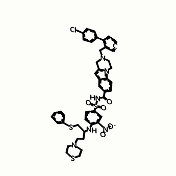 O=C(NS(=O)(=O)c1ccc(NC(CCN2CCSCC2)CSc2ccccc2)c([N+](=O)[O-])c1)c1ccc2c(c1)cc1n2CCN(Cc2ccccc2-c2ccc(Cl)cc2)C1